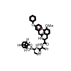 COc1ccc(CC(NC(=O)Cc2cccc(Oc3ccccc3)c2)C(=O)NC(C(=O)N[C@@H](CC(C)C)B2O[C@@H]3C[C@@H]4C[C@@H](C4(C)C)[C@]3(C)O2)C(C)C)cc1OC